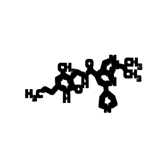 CCCc1cc(C)c(CNC(=O)c2cc(-c3ccncc3)nc3c2cnn3C(C)C)c(=O)[nH]1